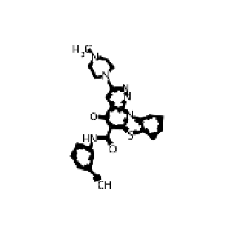 C#Cc1cccc(NC(=O)c2c(=O)c3cc(N4CCN(C)CC4)nnc3n3c2sc2ccccc23)c1